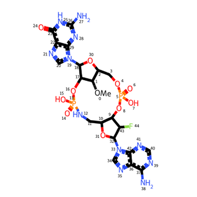 COC1C2COP(=O)(O)OC3C(CNP(=O)(O)OC1C(n1cnc4c(=O)[nH]c(N)nc41)O2)OC(n1cnc2c(N)ncnc21)C3F